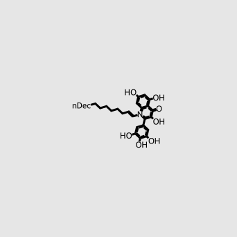 CCCCCCCCCCCCCCCCC=Cn1c(-c2cc(O)c(O)c(O)c2)c(O)c(=O)c2c(O)cc(O)cc21